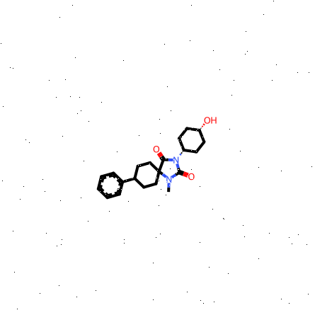 CN1C(=O)N([C@H]2CC[C@@H](O)CC2)C(=O)C12CCC(c1ccccc1)CC2